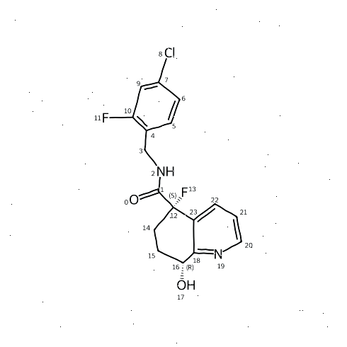 O=C(NCc1ccc(Cl)cc1F)[C@]1(F)CC[C@@H](O)c2ncccc21